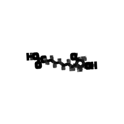 O=C(O)CCCCCCCCC1=CC(O)CC1=O